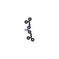 C(/C=C/c1ccc(Nc2ccc(/C=C/C=C(c3ccccc3)c3ccccc3)cc2)cc1)=C(c1ccccc1)c1ccccc1